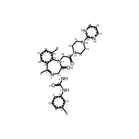 CC1=N[C@@H](NC(=O)Nc2cccc(C)c2)C(=O)N(CC(=O)N2CCN(c3ncccn3)CC2)c2c(C)cccc21